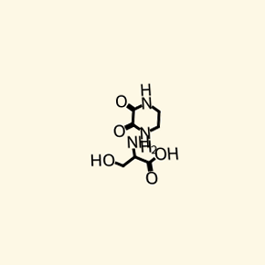 NC(CO)C(=O)O.O=C1NCCNC1=O